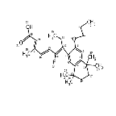 CCCOc1cc2c(cc1C(CC)=C(F)C=CC(C)=CC(=O)O)C(C)(C)CCC2(C)C